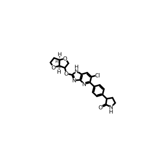 O=C1NCCC1c1ccc(-c2nc3nc(OC4CO[C@@H]5CCO[C@H]45)[nH]c3cc2Cl)cc1